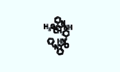 CN(C)c1cc(NC2CCC(CNC(=O)c3cn(Cc4ccccc4)c4ccccc34)CC2)nc2ccccc12